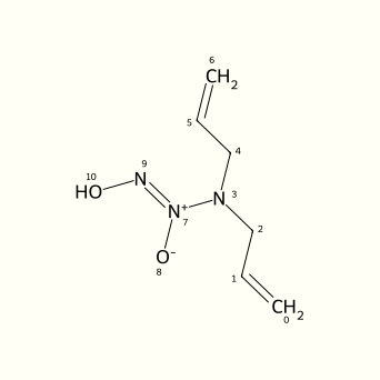 C=CCN(CC=C)[N+]([O-])=NO